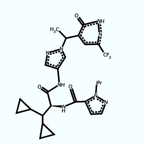 CC(c1cc(C(F)(F)F)n[nH]c1=O)n1cc(NC(=O)[C@@H](NC(=O)c2ccnn2C(C)C)C(C2CC2)C2CC2)cn1